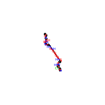 Cc1ccc(Oc2nc3cc(-c4ccc5c(ccn5C)c4)c(Cl)cc3[nH]2)cc1C(=O)NCCOCCOCCOCCOCCNC(=O)CNCc1ccc(-c2c3ncn(CC4(O)CCN(C(=O)C[C@@H](C)c5ccccc5)CC4)c(=O)c3nn2C)cc1